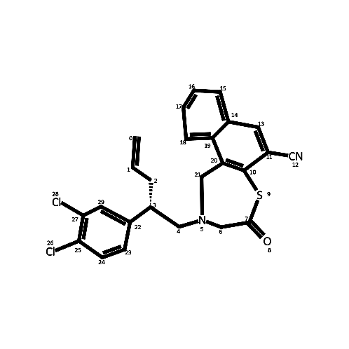 C=CC[C@H](CN1CC(=O)Sc2c(C#N)cc3ccccc3c2C1)c1ccc(Cl)c(Cl)c1